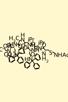 CC(=O)NCSC[C@H](N)C(=O)N[C@H](C(=O)N[C@@H](CC(=O)NC(c1ccccc1)(c1ccccc1)c1ccccc1)C(=O)N[C@H](C(=O)N[C@@H](C)C(=O)N[C@@H](CSC(c1ccccc1)(c1ccccc1)c1ccccc1)C(=O)N[C@H](C(=O)O)[C@@H](C)O)C(C)C)C(C)C